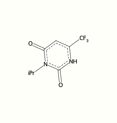 CC(C)n1c(=O)cc(C(F)(F)F)[nH]c1=O